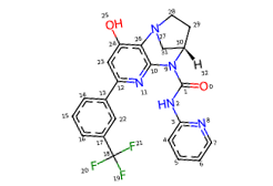 O=C(Nc1ccccn1)N1c2nc(-c3cccc(C(F)(F)F)c3)cc(O)c2N2CC[C@H]1C2